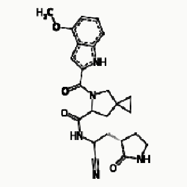 COc1cccc2[nH]c(C(=O)N3CC4(CC4)CC3C(=O)NC(C#N)C[C@@H]3CCNC3=O)cc12